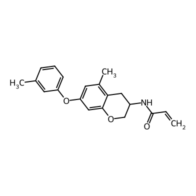 C=CC(=O)NC1COc2cc(Oc3cccc(C)c3)cc(C)c2C1